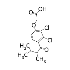 CC(C)C(C)C(=O)c1ccc(OCC(=O)O)c(Cl)c1Cl